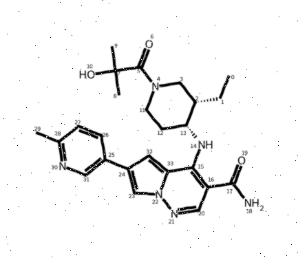 CC[C@H]1CN(C(=O)C(C)(C)O)CC[C@H]1Nc1c(C(N)=O)cnn2cc(-c3ccc(C)nc3)cc12